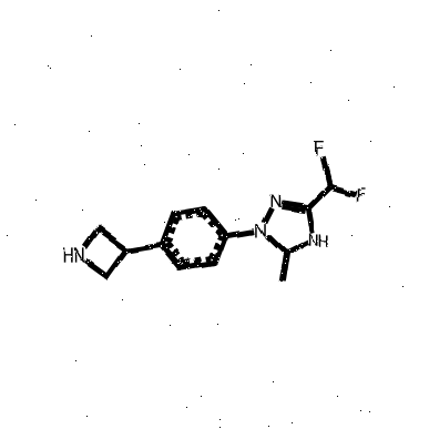 CC1NC(C(F)F)=NN1c1ccc(C2CNC2)cc1